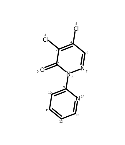 O=c1c(Cl)c(Cl)cnn1-c1ccccn1